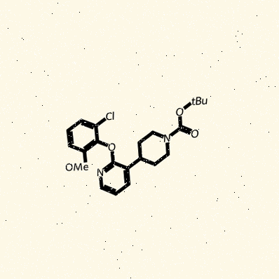 COc1cccc(Cl)c1Oc1ncccc1C1CCN(C(=O)OC(C)(C)C)CC1